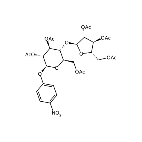 CC(=O)OC[C@@H]1O[C@@H](O[C@H]2[C@H](OC(C)=O)[C@@H](OC(C)=O)[C@H](Oc3ccc([N+](=O)[O-])cc3)O[C@@H]2COC(C)=O)[C@H](OC(C)=O)[C@H]1OC(C)=O